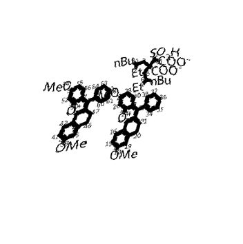 CCCCC(CC)CC(CC(CC)CCCC)(C(=O)[O-])C(C(=O)[O-])S(=O)(=O)O.COc1ccc2c(c1)CCc1c-2[o+]c2cc(OC)ccc2c1-c1ccccc1.COc1ccc2c(c1)CCc1c-2[o+]c2cc(OC)ccc2c1-c1ccccc1